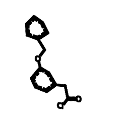 O=C(Cl)Cc1cccc(OCc2ccccc2)c1